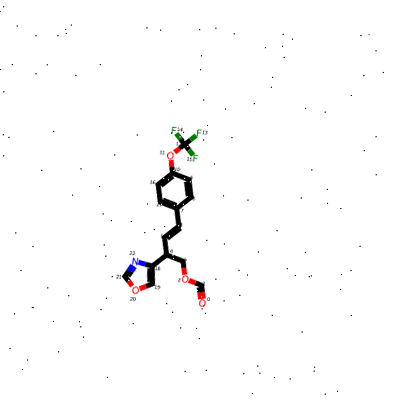 O=COCC(C=Cc1ccc(OC(F)(F)F)cc1)c1cocn1